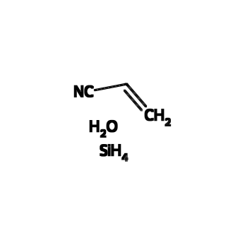 C=CC#N.O.[SiH4]